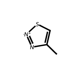 CC1=CS[N+]=N1